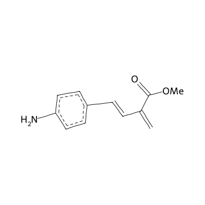 C=C(C=Cc1ccc(N)cc1)C(=O)OC